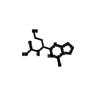 O=C(O)NC(CCO)c1nc2cccn2c(=O)[nH]1